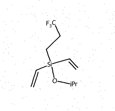 C=C[Si](C=C)(CCC(F)(F)F)OC(C)C